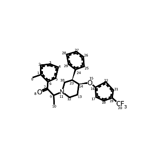 Cc1ccccc1C(=O)C(C)N1CC[C@H](Oc2ccc(C(F)(F)F)cc2)[C@H](c2ccccc2)C1